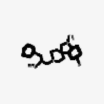 CCOC(=O)C(Cc1ccccc1)CN1CCC2(CC1)CN(C)c1ccc(F)cc12